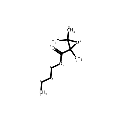 CCCCOC(=O)C1(C)OC1(C)C